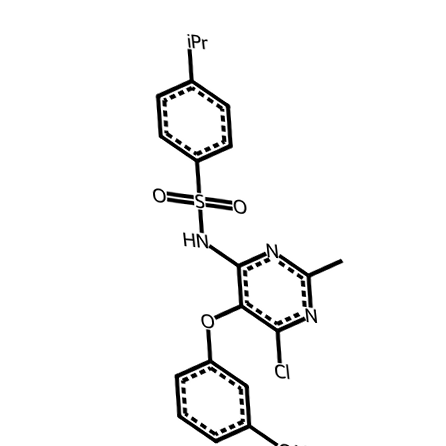 COc1cccc(Oc2c(Cl)nc(C)nc2NS(=O)(=O)c2ccc(C(C)C)cc2)c1